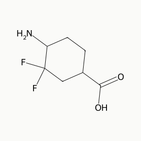 NC1CCC(C(=O)O)CC1(F)F